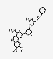 COc1cc2ncc3c(N)nc(-c4cncc(OC[C@@H](N)CSCc5ccccc5)c4)cc3c2cc1OC